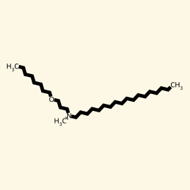 CCCCCCCCCCCCCCCCCCN(C)CCCOCCCCCCCC